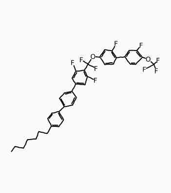 CCCCCCCc1ccc(-c2ccc(-c3cc(F)c(C(F)(F)Oc4ccc(-c5ccc(OC(F)(F)F)c(F)c5)c(F)c4)c(F)c3)cc2)cc1